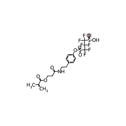 C=C(C)C(=O)OCCC(=O)NCCc1ccc(OS(=O)(=O)C(F)(F)C(F)(F)C(F)(F)S(=O)(=O)O)cc1